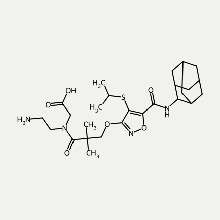 CC(C)Sc1c(OCC(C)(C)C(=O)N(CCN)CC(=O)O)noc1C(=O)NC1C2CC3CC(C2)CC1C3